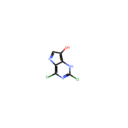 Oc1cnc2c(Cl)nc(Cl)[nH]c1-2